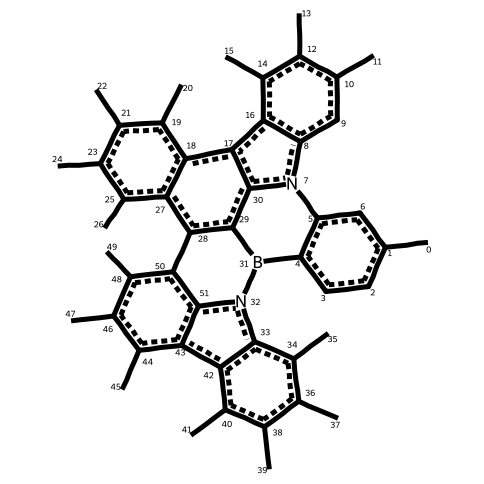 Cc1ccc2c(c1)-n1c3cc(C)c(C)c(C)c3c3c4c(C)c(C)c(C)c(C)c4c4c(c31)B2n1c2c(C)c(C)c(C)c(C)c2c2c(C)c(C)c(C)c-4c21